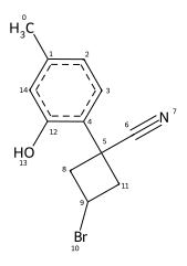 Cc1ccc(C2(C#N)CC(Br)C2)c(O)c1